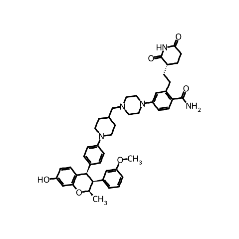 COc1cccc([C@@H]2[C@H](c3ccc(N4CCC(CN5CCN(c6ccc(C(N)=O)c(CC[C@H]7CCC(=O)NC7=O)c6)CC5)CC4)cc3)c3ccc(O)cc3O[C@@H]2C)c1